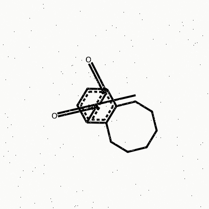 O=c1[nH]c(=O)c2ccc1c1c2CCCCCC1